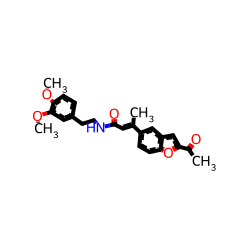 COc1ccc(CCNC(=O)C=C(C)c2ccc3oc(C(C)=O)cc3c2)cc1OC